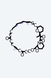 CCC12CCCC(CC/C=C/C=C/C=C/CCCC(=O)CC/C=C\CC(=O)CCOC(=O)C3CCCCN3C(=O)C1=O)O2